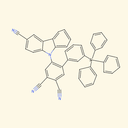 N#Cc1ccc2c(c1)c1ccccc1n2-c1cc(C#N)c(C#N)cc1-c1cccc([Si](c2ccccc2)(c2ccccc2)c2ccccc2)c1